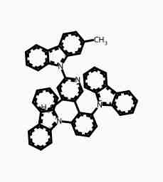 Cc1ccc2c3ccccc3n(-c3cc(C)c(-c4c(-n5c6ccccc6c6ccccc65)cccc4-n4c5ccccc5c5ccccc54)cn3)c2c1